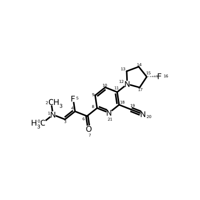 CN(C)C=C(F)C(=O)c1ccc(N2CC[C@H](F)C2)c(C#N)n1